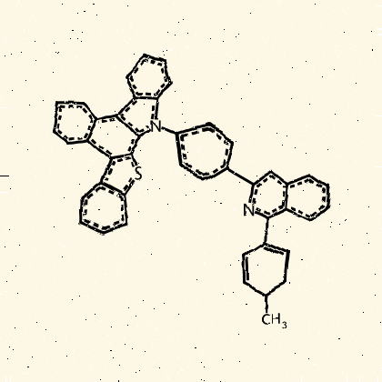 CC1C=CC(c2nc(-c3ccc(-n4c5ccccc5c5c6ccccc6c6c7ccccc7sc6c54)cc3)cc3ccccc23)=CC1